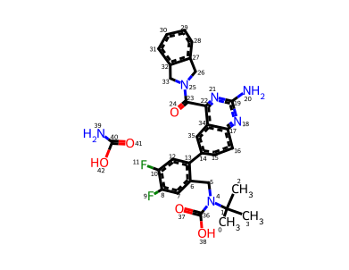 CC(C)(C)N(Cc1cc(F)c(F)cc1-c1ccc2nc(N)nc(C(=O)N3Cc4ccccc4C3)c2c1)C(=O)O.NC(=O)O